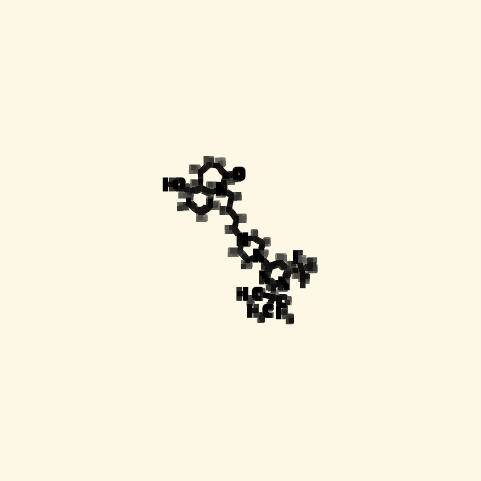 CC(C)(C)c1nc(N2CCN(CCCCN3C(=O)CCCc4c(O)cccc43)CC2)cc(C(F)(F)F)n1